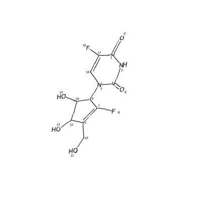 O=c1[nH]c(=O)n(C2C(F)=C(CO)C(O)C2O)cc1F